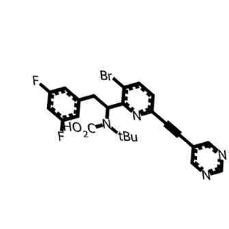 CC(C)(C)N(C(=O)O)C(Cc1cc(F)cc(F)c1)c1nc(C#Cc2cncnc2)ccc1Br